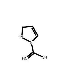 N=C(S)N1C=CCN1